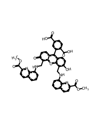 COC(=O)c1ccc2cccc(NCc3c4oc5c(CNc6cccc7ccc(C(=O)OC)nc67)c(O)ccc5c(-c5cc(C(=O)O)ccc5C(=O)O)c-4ccc3=O)c2n1